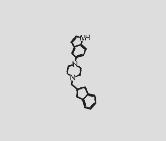 c1ccc2c(c1)CC(CN1CCN(c3ccc4[nH]ccc4c3)CC1)C2